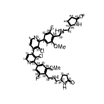 COc1cc(-c2nccc(-c3ccnc(-c4cc(F)c(CNC[C@H]5CCC(=O)N5)c(OC)c4)c3Cl)c2Cl)cc(F)c1CNC[C@H]1CCC(=O)N1